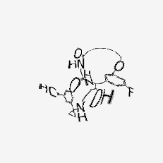 C#Cc1cccc(C2(NCC(O)C3Cc4cc(F)cc(c4)OCCCCCC(=O)NCC(=O)N3)CC2)c1